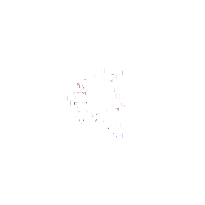 C=C1C[C@@H]2CC[C@@]34C[C@H]5O[C@H]6[C@@H](O3)[C@H]3O[C@H](CC[C@@H]3O[C@H]6[C@H]5O4)CC(=O)C[C@H]3C(C[C@H]4O[C@@H](CC[C@@H]1O2)C[C@@H](C)C4=C)O[C@H](C[C@H](O)CN)[C@@H]3OC